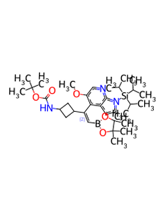 COc1cnc2c(ccn2[Si](C(C)C)(C(C)C)C(C)C)c1/C(=C\B1OC(C)(C)C(C)(C)O1)C1CC(NC(=O)OC(C)(C)C)C1